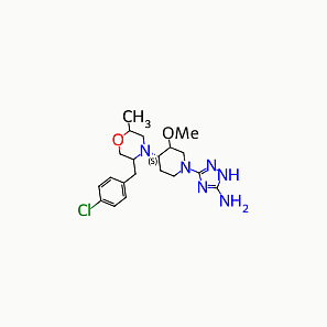 COC1CN(c2n[nH]c(N)n2)CC[C@@H]1N1CC(C)OCC1Cc1ccc(Cl)cc1